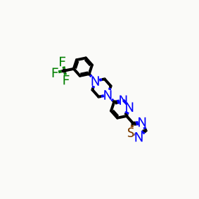 FC(F)(F)c1cccc(N2CCN(c3ccc(-c4ncns4)nn3)CC2)c1